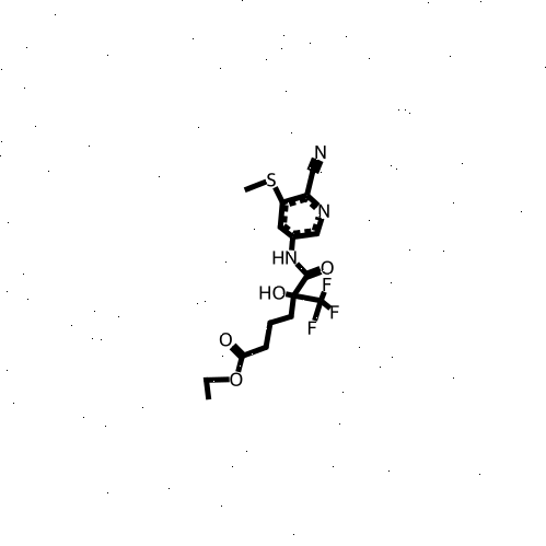 CCOC(=O)CCCC(O)(C(=O)Nc1cnc(C#N)c(SC)c1)C(F)(F)F